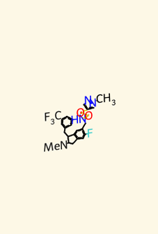 CNC1Cc2cc(F)c(CNS(=O)(=O)c3cnn(C)c3)cc2C1Cc1cccc(C(F)(F)F)c1